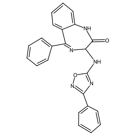 O=C1Nc2ccccc2C(c2ccccc2)=NC1Nc1nc(-c2ccccc2)no1